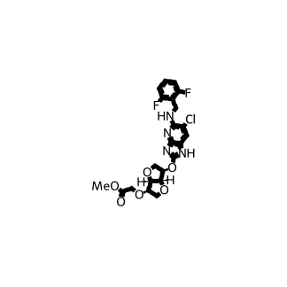 COC(=O)CO[C@@H]1CO[C@H]2[C@@H]1OC[C@H]2Oc1nc2nc(NCc3c(F)cccc3F)c(Cl)cc2[nH]1